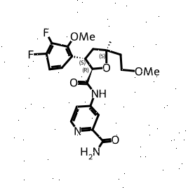 COCC[C@]1(C)C[C@@H](c2ccc(F)c(F)c2OC)[C@H](C(=O)Nc2ccnc(C(N)=O)c2)O1